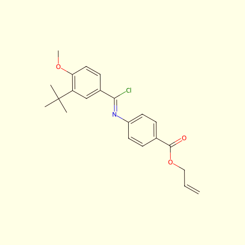 C=CCOC(=O)c1ccc(N=C(Cl)c2ccc(OC)c(C(C)(C)C)c2)cc1